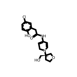 O=C(Cc1cc(Cl)ccc1O)NC1=CCN([C@@]2(CO)CCOC2)C=C1